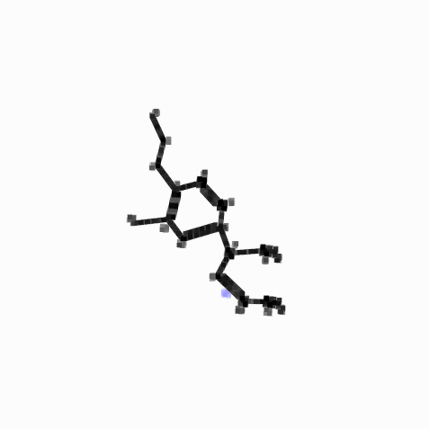 CCCc1nnc(N(N)/C=N\N)cc1C